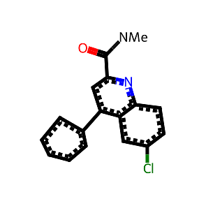 CNC(=O)c1cc(-c2ccccc2)c2cc(Cl)ccc2n1